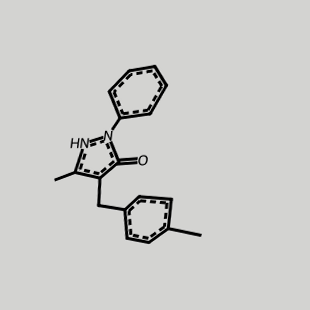 Cc1ccc(Cc2c(C)[nH]n(-c3ccccc3)c2=O)cc1